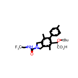 Cc1ccc(-c2c(C)c3c(c(C)c2[C@H](OC(C)(C)C)C(=O)O)CN(C(=O)NCC(F)(F)F)C3)cc1